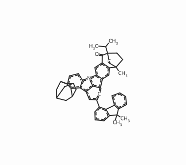 CC(C)C12CCC(C)(CC1)c1cc3c4cc(-c5cccc6c5-c5ccccc5C6(C)C)cc5c6c7c(ccc6n(c3cc1C2=O)c45)C1CC2CC(C1)CC7C2